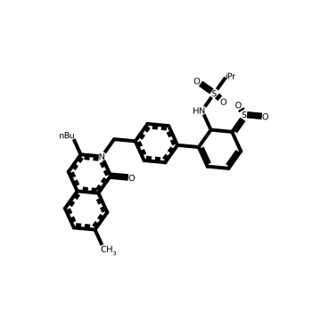 CCCCc1cc2ccc(C)cc2c(=O)n1Cc1ccc(C2=CC=CC(=S(=O)=O)C2NS(=O)(=O)C(C)C)cc1